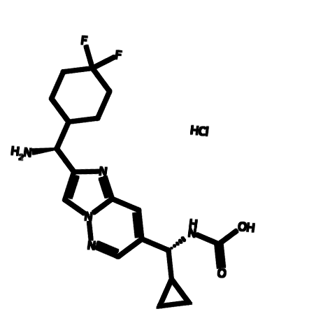 Cl.N[C@H](c1cn2ncc([C@H](NC(=O)O)C3CC3)cc2n1)C1CCC(F)(F)CC1